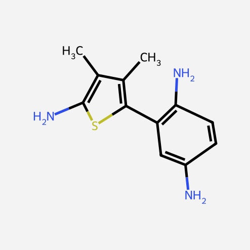 Cc1c(N)sc(-c2cc(N)ccc2N)c1C